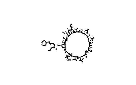 C/C=C/C[C@@H](C)[C@@H](O)[C@H]1C(=O)N[C@@H](CC)C(=O)N(C)[C@H](CSCC[C@@H](CCCN2CCOCC2)C(=O)OCC)C(=O)N(C)[C@@H](CC(C)(C)O)C(=O)N[C@@H](C(C)C)C(=O)N(C)[C@@H](CC(C)C)C(=O)N[C@@H](C)C(=O)N[C@H](C)C(=O)N(C)[C@@H](CC(C)C)C(=O)N(C)[C@@H](CC(C)C)C(=O)N(C)[C@@H](C(C)C)C(=O)N1C